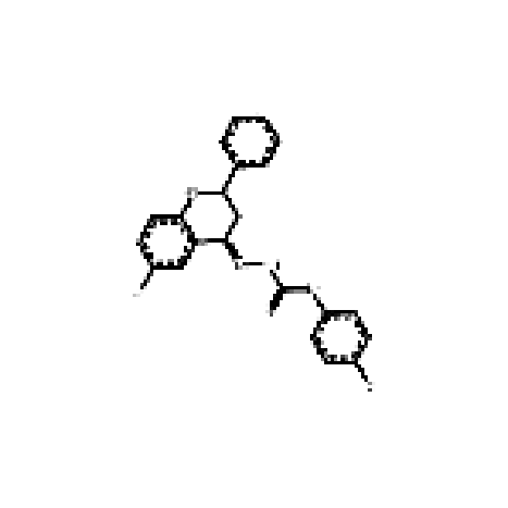 O=C(NN=C1CC(c2ccccc2)Nc2ccc(Cl)cc21)Nc1ccc(Cl)cc1